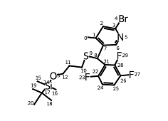 Cc1cc(Br)ncc1C(SCCCO[Si](C)(C)C(C)(C)C)c1c(F)ccc(F)c1F